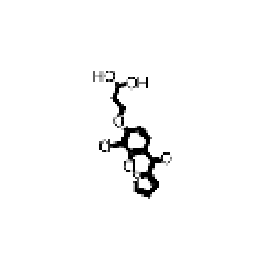 O=C(c1cccs1)c1ccc(OCCC(O)O)c(Cl)c1Cl